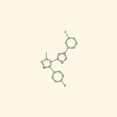 Cc1onc(-c2ccc(F)cc2)c1-c1cn(-c2cccc(F)c2)cn1